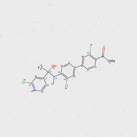 COC(=O)c1ccc(-c2ccc(C(C)C(O)(c3ccnc(Cl)c3)C(F)(F)F)c(Cl)c2)cc1F